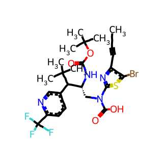 CC#Cc1nc(N(C[C@@H](NC(=O)OC(C)(C)C)C(c2ccc(C(F)(F)F)nc2)C(C)(C)C)C(=O)O)sc1Br